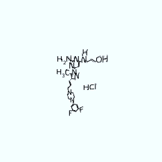 Cc1c(/C=C/CN2CCN(c3cc(F)cc(F)c3)CC2)cnn1-c1cc(NCCCO)nc(N)n1.Cl